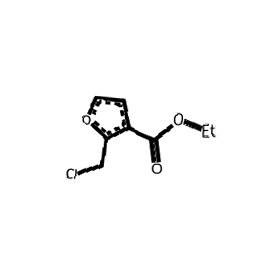 CCOC(=O)c1ccoc1CCl